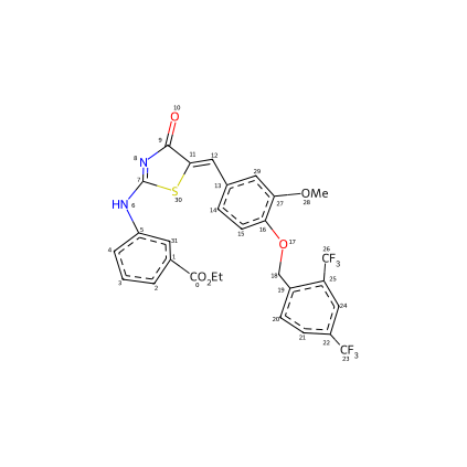 CCOC(=O)c1cccc(NC2=NC(=O)C(=Cc3ccc(OCc4ccc(C(F)(F)F)cc4C(F)(F)F)c(OC)c3)S2)c1